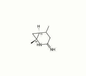 CC1CC(=N)N[C@]2(C)C[C@@H]12